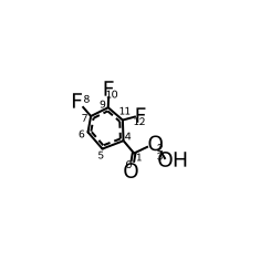 O=C(OO)c1ccc(F)c(F)c1F